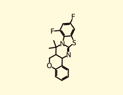 CC1(C)C2COc3ccccc3C2N=C2Sc3cc(F)cc(F)c3N21